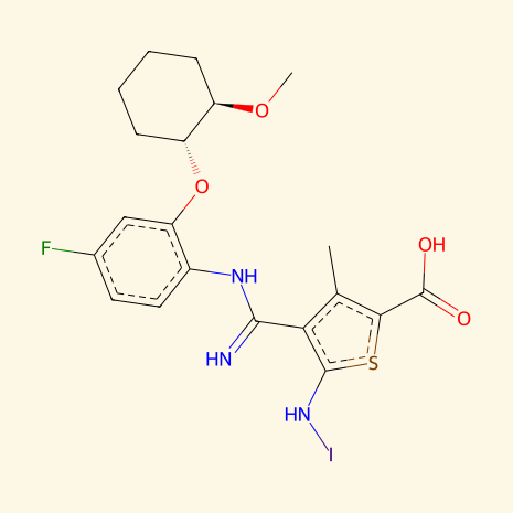 CO[C@@H]1CCCC[C@H]1Oc1cc(F)ccc1NC(=N)c1c(NI)sc(C(=O)O)c1C